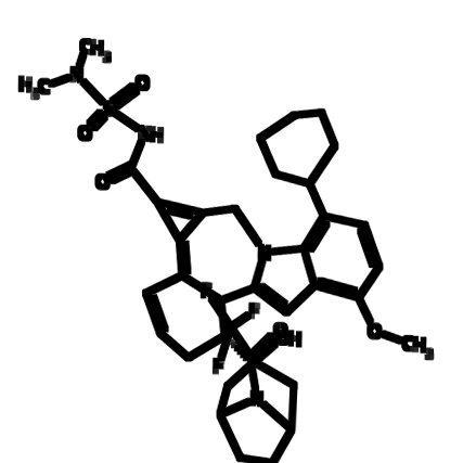 COc1ccc(C2CCCCC2)c2c1cc1n2CC2=C(C(=O)NS(=O)(=O)N(C)C)C2=C2C=CC[C@@H](C(=O)N3C4CCC3CC(O)(C(F)(F)F)C4)C21